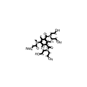 CNCC(=O)N(C)c1c(I)c(C(=O)N(CCO)CCO)c(I)c(C(=O)N(CCO)CCO)c1I